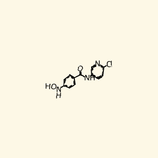 O=C(Nc1ccc(Cl)nc1)c1ccc(NO)cc1